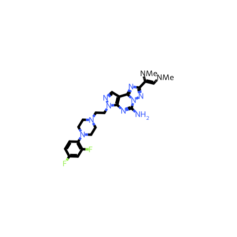 CN/C=C(\NC)c1nc2c3cnn(CCN4CCN(c5ccc(F)cc5F)CC4)c3nc(N)n2n1